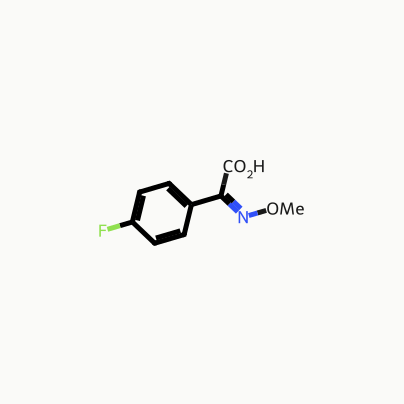 CO/N=C(\C(=O)O)c1ccc(F)cc1